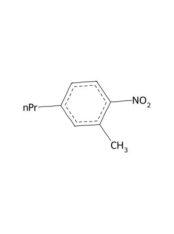 [CH2]CCc1ccc([N+](=O)[O-])c(C)c1